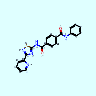 O=C(Nc1ccccc1)c1ccc(C(=O)Nc2nc(-c3ccccn3)ns2)cc1